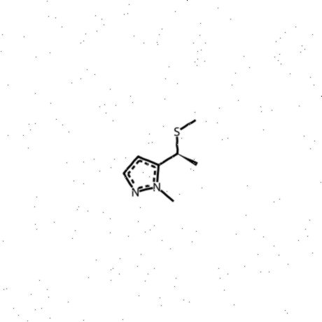 CS[C@@H](C)c1ccnn1C